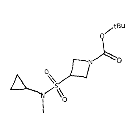 CN(C1CC1)S(=O)(=O)C1CN(C(=O)OC(C)(C)C)C1